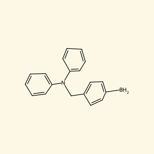 Bc1ccc(CN(c2ccccc2)c2ccccc2)cc1